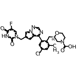 Cc1cc(Cl)cc(-c2ncnn3cc(Cn4cc(F)c(=O)[nH]c4=O)cc23)c1C[C@@H]1CN(C(=O)O)CCO1